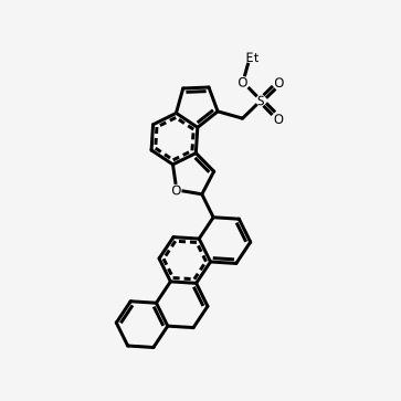 CCOS(=O)(=O)CC1=c2c(ccc3c2=CC(C2C=CC=c4c2ccc2c4=CCC4=C2C=CCC4)O3)C=C1